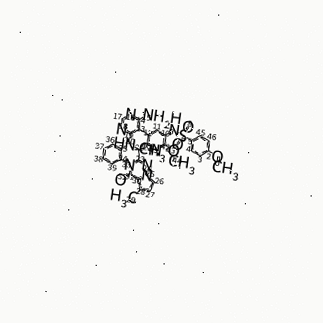 COc1ccc(S(=O)(=O)Nc2cc(-c3c(N)ncnc3N[C@@H](C)c3nn4ccc(C)c4c(=O)n3-c3ccccc3)cnc2OC)cc1